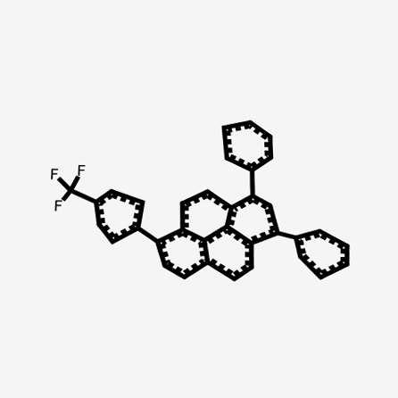 FC(F)(F)c1ccc(-c2ccc3ccc4c(-c5ccccc5)cc(-c5ccccc5)c5ccc2c3c45)cc1